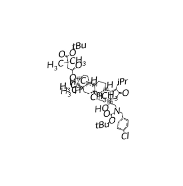 CC(C)C1=C2[C@H]3CC[C@@H]4[C@@]5(C)CC[C@H](OC(=O)CC(C)(C)C(=O)OC(C)(C)C)C(C)(C)[C@H]5CC[C@@]4(C)[C@]3(C)CC[C@@]2([C@@H](O)CN(Cc2ccc(Cl)cc2)C(=O)OC(C)(C)C)CC1=O